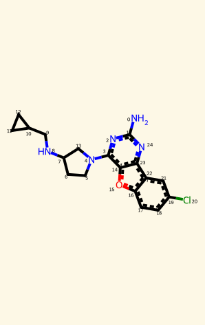 Nc1nc(N2CCC(NCC3CC3)C2)c2oc3ccc(Cl)cc3c2n1